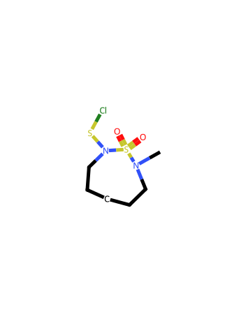 CN1CCCCCN(SCl)S1(=O)=O